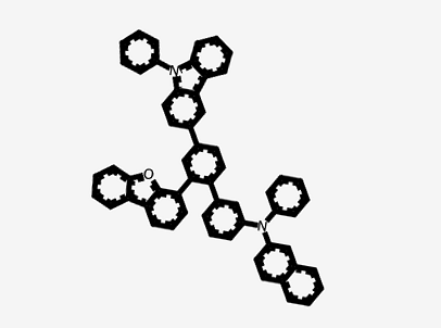 c1ccc(N(c2cccc(-c3ccc(-c4ccc5c(c4)c4ccccc4n5-c4ccccc4)cc3-c3cccc4c3oc3ccccc34)c2)c2ccc3ccccc3c2)cc1